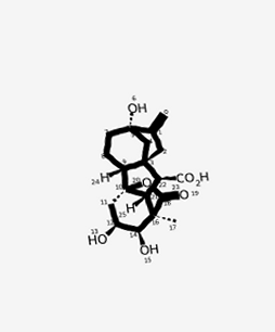 C=C1C[C@]23C[C@@]1(O)CC[C@H]2[C@@]12C[C@H](O)[C@H](O)[C@](C)(C(=O)O1)[C@H]2[C@@H]3C(=O)O